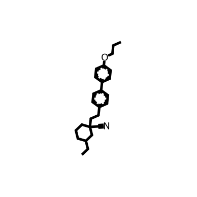 CCCOc1ccc(-c2ccc(CCC3(C#N)CCCC(CC)C3)cc2)cc1